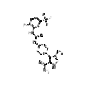 NC(=O)c1[nH]cc(N)c1-c1ccc(NC(=O)Nc2cc(C(F)(F)F)ccc2F)cc1